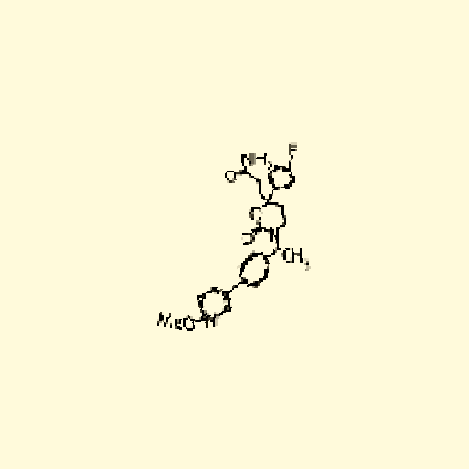 COc1ccc(-c2ccc([C@H](C)N3CC[C@@](CCC(N)=O)(c4ccc(F)cc4)OC3=O)cc2)cn1